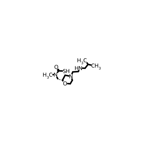 CC(C)CNCCN1CCO[C@H](CN(C)C(=O)S)C1